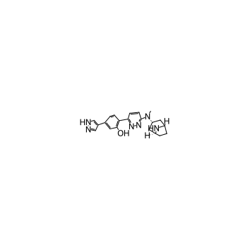 CN(c1ccc(-c2ccc(-c3cn[nH]c3)cc2O)nn1)[C@@H]1C[C@H]2CC[C@@H](C1)N2